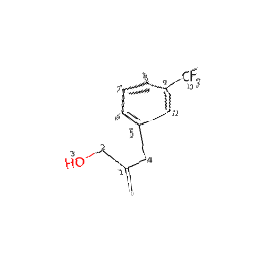 C=C(CO)Cc1cccc(C(F)(F)F)c1